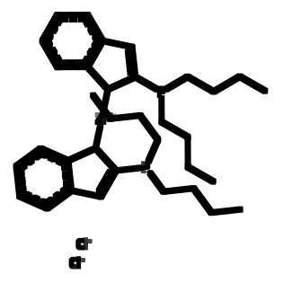 CCCCP(CCCC)C1=Cc2ccccc2[CH]1[Zr+2][CH]1C(P(CCCC)CCCC)=Cc2ccccc21.[Cl-].[Cl-]